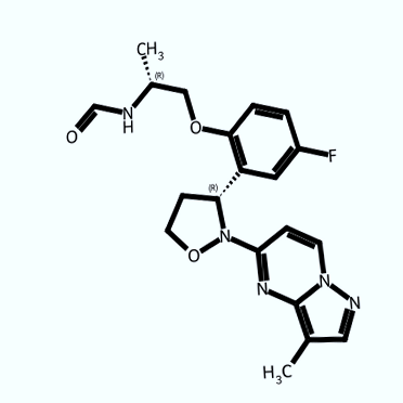 Cc1cnn2ccc(N3OCC[C@@H]3c3cc(F)ccc3OC[C@@H](C)NC=O)nc12